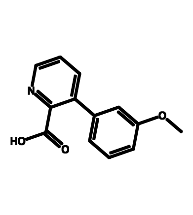 COc1cccc(-c2cccnc2C(=O)O)c1